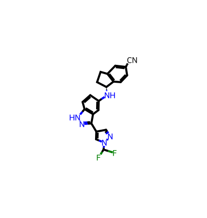 N#Cc1ccc2c(c1)CC[C@H]2Nc1ccc2[nH]nc(-c3cnn(C(F)F)c3)c2c1